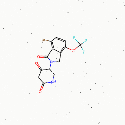 O=C1CC(=O)C(N2Cc3c(OC(F)(F)F)ccc(Br)c3C2=O)CN1